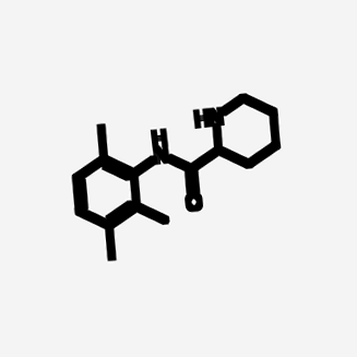 Cc1ccc(C)c(NC(=O)C2CCCCN2)c1C